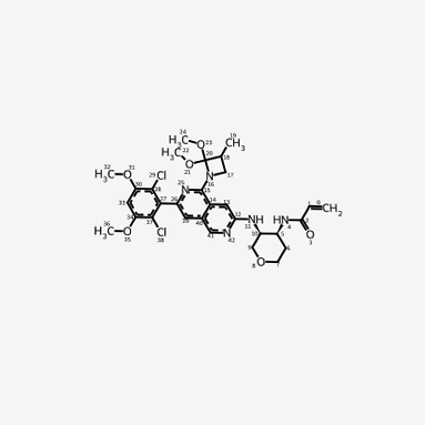 C=CC(=O)N[C@H]1CCOC[C@H]1Nc1cc2c(N3CC(C)C3(OC)OC)nc(-c3c(Cl)c(OC)cc(OC)c3Cl)cc2cn1